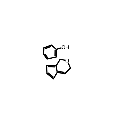 C1=CC2=CCOCC2=C1.Oc1ccccc1